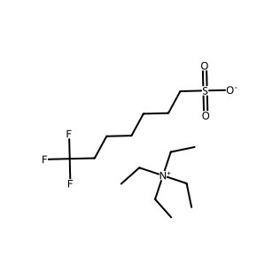 CC[N+](CC)(CC)CC.O=S(=O)([O-])CCCCCCC(F)(F)F